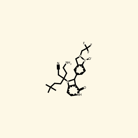 CC(C)(C)CCC(CC#N)(CCN)N1c2cc[nH]c(=O)c2C1c1ccc2c(c1)CN(CC(F)(F)F)[S+]2[O-]